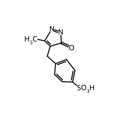 CC1=C(Cc2ccc(S(=O)(=O)O)cc2)C(=O)N=N1